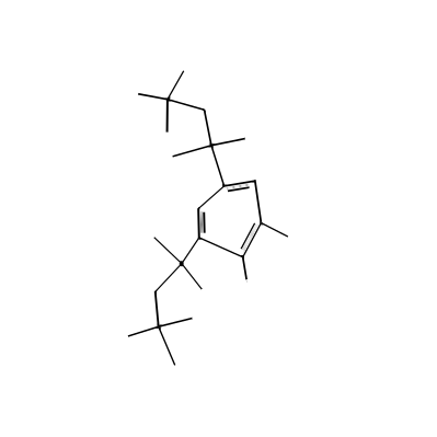 CC(C)(C)CC(C)(C)c1cc(O)c(O)c(C(C)(C)CC(C)(C)C)c1